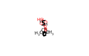 CC12CCC(C1)C(C)(C)C2OCO[C@@H]1CO[C@@H]2[C@@H]1OC[C@@H]2O